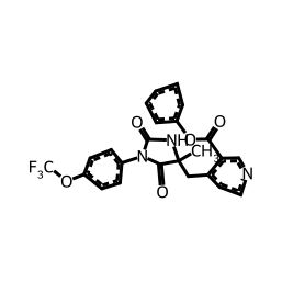 CC1(Cc2ccncc2C(=O)Oc2ccccc2)NC(=O)N(c2ccc(OC(F)(F)F)cc2)C1=O